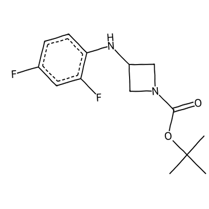 CC(C)(C)OC(=O)N1CC(Nc2ccc(F)cc2F)C1